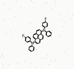 Fc1ccc(N(c2ccccc2)c2ccc3ccc4c(N(c5ccccc5)c5ccc(F)cc5)ccc5ccc2c3c54)cc1